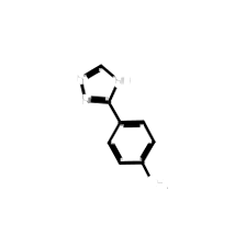 Cc1c[c]c(-c2nnc[nH]2)cc1